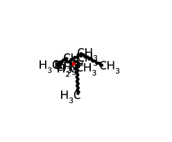 C=C(CCCN(C)C)CC(CCCCCC(C)(C)CCCCCCCCCCC)CCCCCC(C)(C)C(=C)CCCCCCCCCCCC